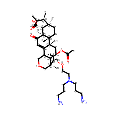 CC(=O)O[C@@H]1C[C@@]23COC[C@@](C)([C@@H]2CC[C@H]2C3=CC(=O)[C@@]3(C)[C@H](C(=O)O)[C@@](C)([C@H](C)C(C)C)CC[C@]23C)[C@H]1OCCN(CCCN)CCCN